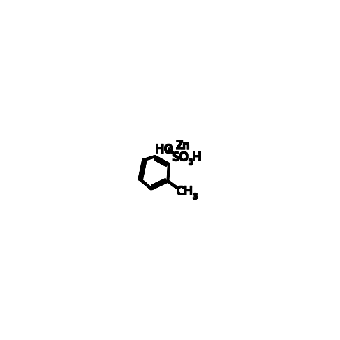 Cc1ccccc1.O=S(=O)(O)O.[Zn]